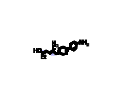 CC/C(O)=C\C=C(/C)CN1CCN(c2ccc(N)cc2)CC1